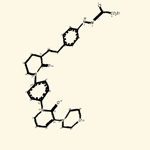 CCOC(=O)/C(Cl)=N/Nc1ccc(CCC2CCCN(c3ccc(N4CCC=C(N5CCOCC5)C4=O)cc3)C2=O)cc1